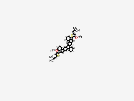 CCCOc1cc(C=C(C#N)C#N)sc1C1=Cc2cc3c(cc2C12CCCCC2)-c1cc2c(cc1C31CCCCC1)C=C(c1sc(C=C(C#N)C#N)cc1OCCC)C21CCCCC1